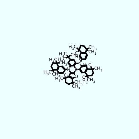 CC(C)(C)c1cc2c3c(c1)N(c1ccc4c(c1)C(C)(C)CCC4(C)C)c1c(oc4c1C(C)(C)CCC4(C)C)B3c1cc3c(cc1N2c1ccc2c(c1)C(C)(C)CCC2(C)C)C(C)(C)CCC3(C)C